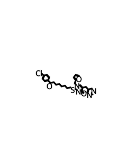 O=C(CCCCCCCSc1nc(=O)c(Cc2cncnc2)cn1Cc1ccco1)c1ccc(Cl)cc1